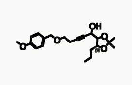 CCC[C@@H]1OC(C)(C)OC1C(O)C#CCCOCc1ccc(OC)cc1